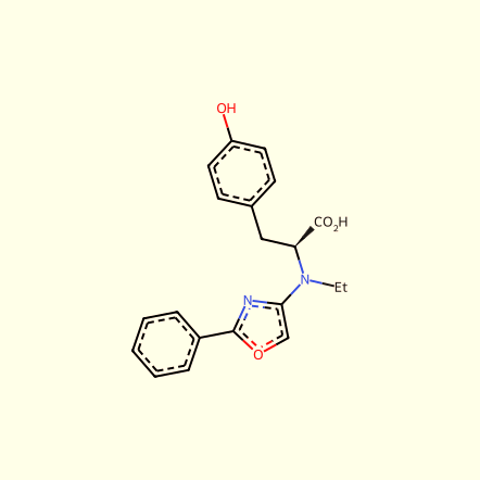 CCN(c1coc(-c2ccccc2)n1)[C@@H](Cc1ccc(O)cc1)C(=O)O